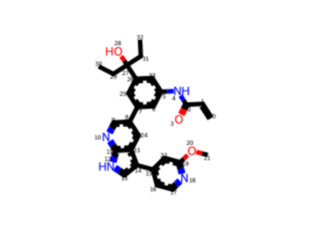 C=CC(=O)Nc1cc(-c2cnc3[nH]cc(-c4ccnc(OC)c4)c3c2)cc(C(O)(CC)CC)c1